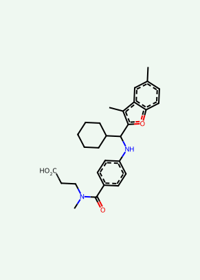 Cc1ccc2oc(C(Nc3ccc(C(=O)N(C)CCC(=O)O)cc3)C3CCCCC3)c(C)c2c1